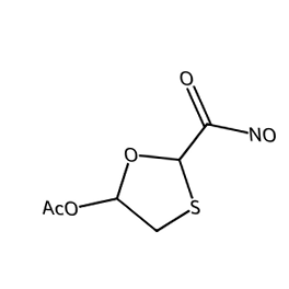 CC(=O)OC1CSC(C(=O)N=O)O1